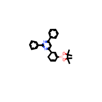 CC1(C)OB(C2=CC(c3cc(-c4ccccc4)nc(-c4ccccc4)n3)CC=C2)OC1(C)C